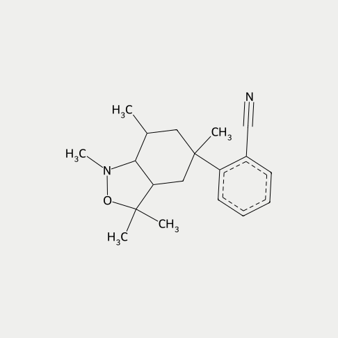 CC1CC(C)(c2ccccc2C#N)CC2C1N(C)OC2(C)C